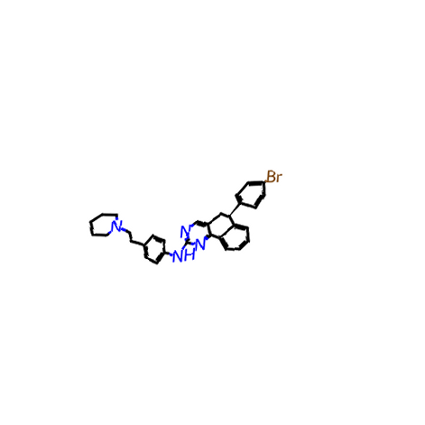 Brc1ccc([C@@H]2Cc3cnc(Nc4ccc(CCN5CCCCC5)cc4)nc3-c3ccccc32)cc1